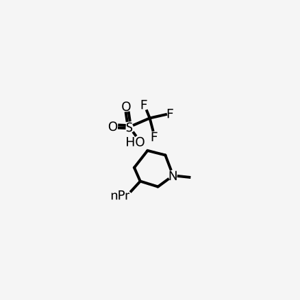 CCCC1CCCN(C)C1.O=S(=O)(O)C(F)(F)F